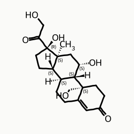 C[C@]12C[C@H](O)[C@H]3[C@@H](CCC4=CC(=O)CC[C@@]43CO)[C@@H]1CC[C@]2(O)C(=O)CO